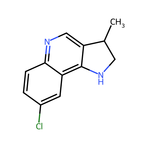 CC1CNc2c1cnc1ccc(Cl)cc21